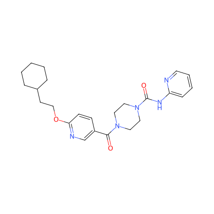 O=C(Nc1ccccn1)N1CCN(C(=O)c2ccc(OCCC3CCCCC3)nc2)CC1